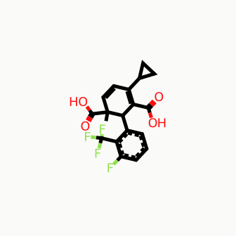 CC1(C(=O)O)C=CC(C2CC2)=C(C(=O)O)C1c1cccc(F)c1C(F)(F)F